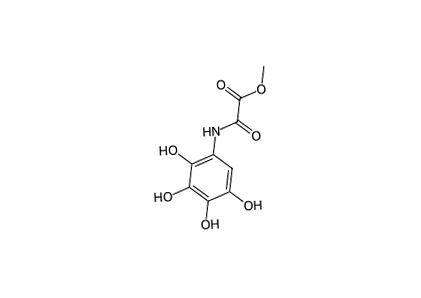 COC(=O)C(=O)Nc1cc(O)c(O)c(O)c1O